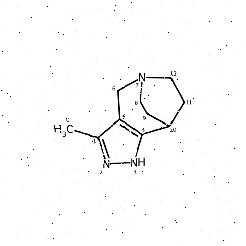 Cc1n[nH]c2c1CN1CCC2CC1